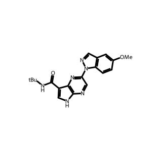 COc1ccc2c(cnn2-c2cnc3[nH]cc(C(=O)NC(C)(C)C)c3n2)c1